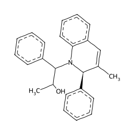 CC1=Cc2ccccc2N(C(c2ccccc2)C(C)O)[C@@H]1c1ccccc1